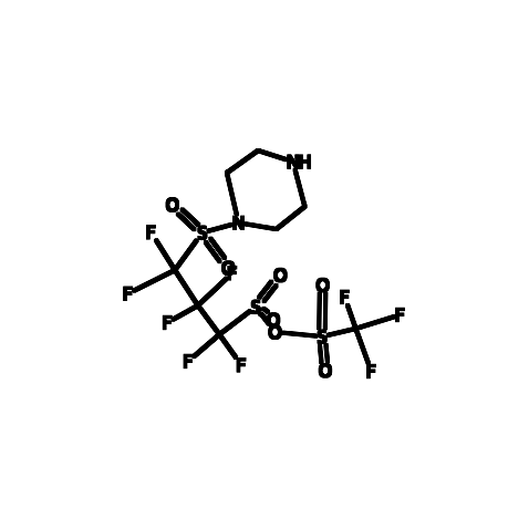 O=S(=O)(OS(=O)(=O)C(F)(F)C(F)(F)C(F)(F)S(=O)(=O)N1CCNCC1)C(F)(F)F